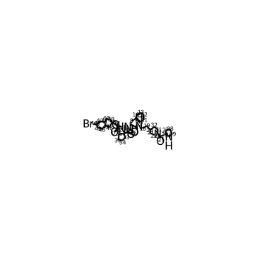 O=C(NC1(C(=O)N[C@H](Cc2ccccc2)C(=O)NCCC2CCN(C(=O)[C@H]3CCCN3)CC2)CCCC1)Oc1ccc2cc(Br)ccc2c1